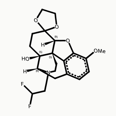 COc1ccc2c3c1O[C@H]1C4(CC[C@@]5(O)[C@@H](C2)N(CC(F)F)CC[C@]315)OCCO4